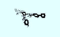 CC(C)(C)[Si](C)(C)Oc1ccc(NC(=O)c2ccc(-c3ccccc3)cc2)cc1NS(=O)(=O)c1ccc(F)cc1